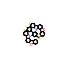 Fc1c(F)c(F)c(-c2c(-n3c4ccccc4c4ccc5oc6ccccc6c5c43)cc(C(F)(F)F)cc2-n2c3ccccc3c3ccc4oc5ccccc5c4c32)c(F)c1F